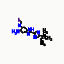 CC(C)(C)c1cnc(-c2nc3cc(N)c(/N=C/I)cc3[nH]2)cn1